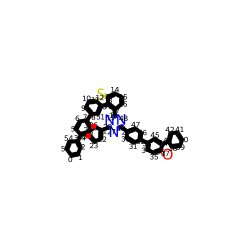 c1ccc(-c2ccc(-c3ccc4sc5cccc(-c6nc(-c7ccccc7)nc(-c7ccc(-c8ccc9oc%10ccccc%10c9c8)cc7)n6)c5c4c3)cc2)cc1